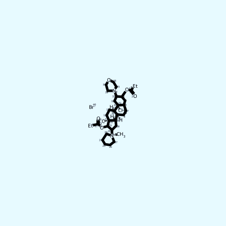 CCC(=O)OC1CC2CC[C@@H]3[C@@H](CC[C@]4(C)C(OC(=O)CC)C([N+]5(C)CCCCC5)C[C@@H]34)[C@@]2(C)CC1N1CCOCC1.[Br-]